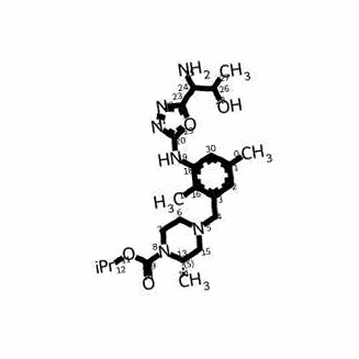 Cc1cc(CN2CCN(C(=O)OC(C)C)[C@@H](C)C2)c(C)c(Nc2nnc(C(N)C(C)O)o2)c1